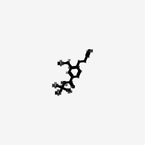 C#CCCc1ccc(C(=O)NC(C)(C)C)cc1OC